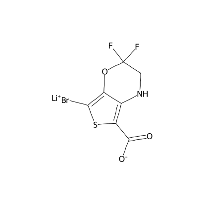 O=C([O-])c1sc(Br)c2c1NCC(F)(F)O2.[Li+]